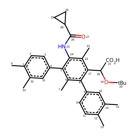 Cc1ccc(-c2c(C)c(-c3ccc(C)c(C)c3)c(C(OC(C)(C)C)C(=O)O)c(C)c2NC(=O)C2CC2)cc1C